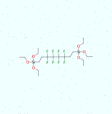 CCO[Si](CCC(F)(F)C(F)(F)C(F)(F)C(F)(F)CC[Si](OCC)(OCC)OCC)(OCC)OCC